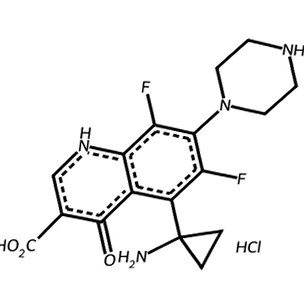 Cl.NC1(c2c(F)c(N3CCNCC3)c(F)c3[nH]cc(C(=O)O)c(=O)c23)CC1